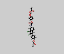 C=CC(=O)COc1ccc(-c2cc3ccc(/C=C/C(=O)Oc4ccc(OCOC(=O)C=C)cc4)c(F)c3c(F)c2F)cc1